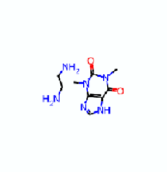 Cn1c(=O)c2[nH]cnc2n(C)c1=O.NCCN